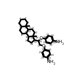 CC12CCCCC1CCC1C2CCC2(C)C(C(COc3ccc(N)cc3)Oc3ccc(N)cc3)CCC12